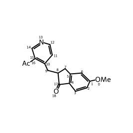 COc1ccc2c(c1)CC(Cc1ccncc1C(C)=O)C2=O